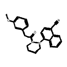 COc1cccc(CC(=O)N2CCCCN2c2ccc(C#N)c3ccccc23)c1